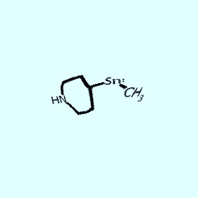 [CH3][Sn][CH]1CCNCC1